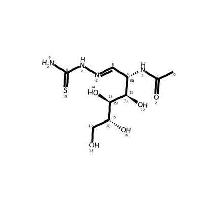 CC(=O)N[C@@H](C=NNC(N)=S)[C@@H](O)[C@H](O)[C@H](O)CO